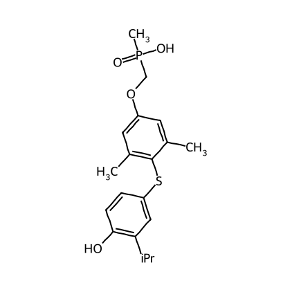 Cc1cc(OCP(C)(=O)O)cc(C)c1Sc1ccc(O)c(C(C)C)c1